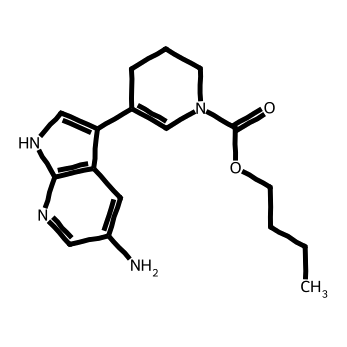 CCCCOC(=O)N1C=C(c2c[nH]c3ncc(N)cc23)CCC1